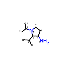 CC(C)C1C(N)CCN1C(C)C